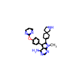 Cn1c(C2=CCC3(CCNC3)CC2)c(-c2ccc(Oc3ncccn3)cc2)c2c(N)ncnc21